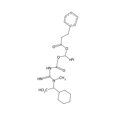 CCCC(OC(=O)CCc1ccccc1)OC(=O)NC(=N)N(C)C(C(=O)O)C1CCCCC1